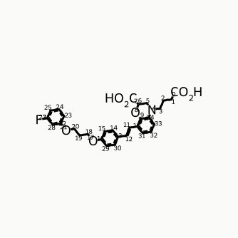 O=C(O)CCCN1CC(C(=O)O)Oc2c(C=Cc3ccc(OCCCOc4cccc(F)c4)cc3)cccc21